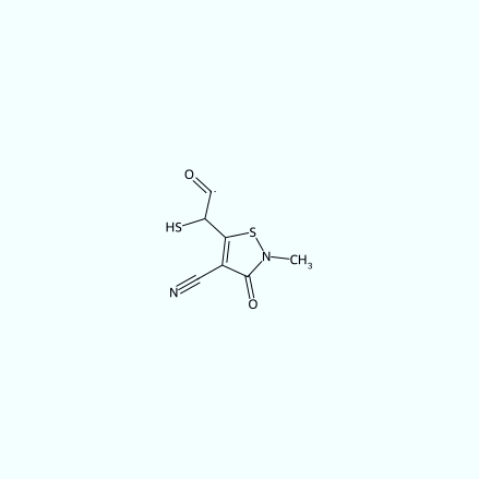 Cn1sc(C(S)[C]=O)c(C#N)c1=O